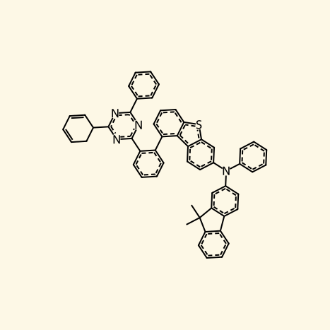 CC1(C)c2ccccc2-c2ccc(N(c3ccccc3)c3ccc4c(c3)sc3cccc(-c5ccccc5-c5nc(-c6ccccc6)nc(C6C=CC=CC6)n5)c34)cc21